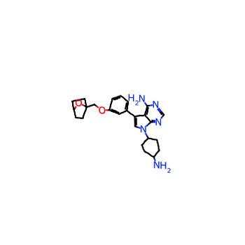 Nc1ncnc2c1c(-c1cccc(OCC34CCC(CC3)O4)c1)cn2C1CCC(N)CC1